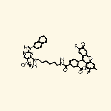 Cc1cc2oc3cc(=O)c(F)cc-3c(-c3ccc(C(=O)NCCCCCCNc4nc(Nc5ccc6ccccc6c5)ncc4[N+](=O)[O-])cc3C(=O)O)c2cc1F